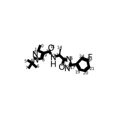 Cc1nn(C(C)(C)C)cc1C(=O)N[C@@H](C)c1nc(-c2cccc(F)c2)no1